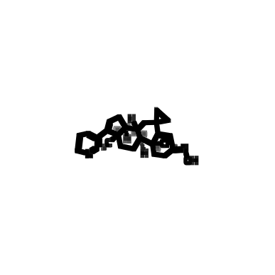 C[C@]12CCC(=NO)C=C1C1(CC1)C[C@@H]1[C@@H]2CC[C@]2(C)C(c3cccnc3)=CC[C@@H]12